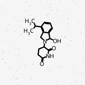 CC(C)c1cccc2c1CN(C1CCC(=O)NC1=O)C2O